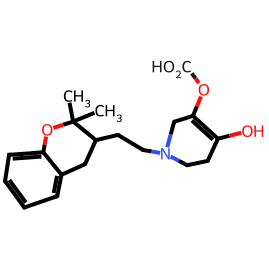 CC1(C)Oc2ccccc2CC1CCN1CCC(O)=C(OC(=O)O)C1